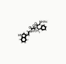 CC(=O)NCC(=O)N(Cc1ccccc1)C(C)(C)C(=O)NC=Cc1c[nH]c2ccccc12